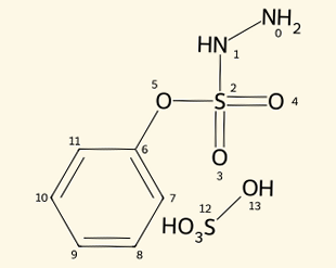 NNS(=O)(=O)Oc1ccccc1.O=S(=O)(O)O